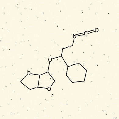 O=C=NCCC(OC1COC2CCOC21)C1CCCCC1